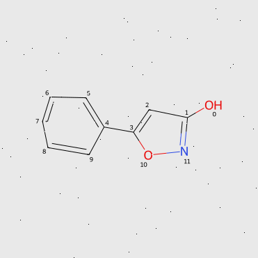 Oc1cc(-c2cc[c]cc2)on1